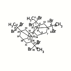 CC(Br)(Br)C12CC3CC(C(C)(Br)Br)(C1)CC(C14CC5CC(C(C)(Br)Br)(CC(C(C)(Br)Br)(C5)C1)C4)(C3)C2